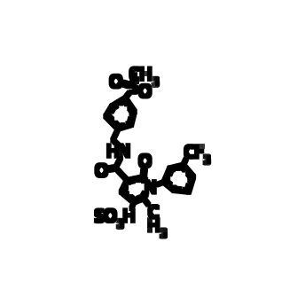 Cc1c(S(=O)(=O)O)cc(C(=O)NCc2ccc(S(C)(=O)=O)cc2)c(=O)n1-c1cccc(C(F)(F)F)c1